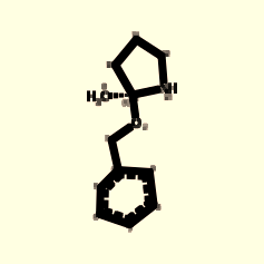 C[C@]1(OCc2ccccc2)CCCN1